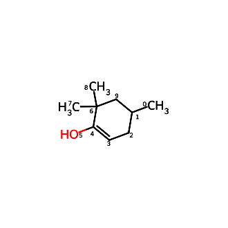 CC1CC=C(O)C(C)(C)C1